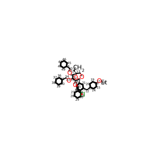 C=C[C@@]12CO[C@@](c3ccc(Cl)c(Cc4ccc(OCC)cc4)c3)(O1)[C@H](OCc1ccccc1)[C@@H](OCc1ccccc1)[C@@H]2OCc1ccccc1